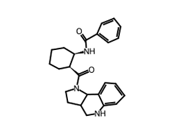 O=C(N[C@@H]1CCCC[C@@H]1C(=O)N1CCC2CNc3ccccc3C21)c1ccccc1